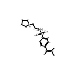 CC(C)=C(C)c1ccc(S(=O)(=O)NCCN2CCCC2)cc1